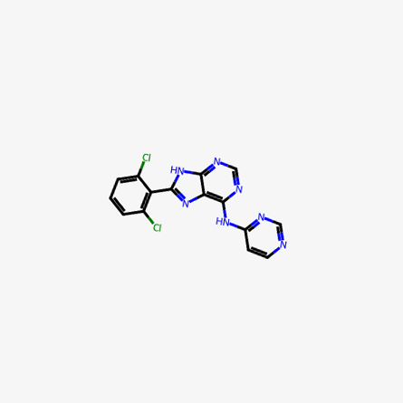 Clc1cccc(Cl)c1-c1nc2c(Nc3ccncn3)ncnc2[nH]1